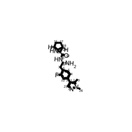 Cc1c(-c2ccc(C[C@@H](N)NC(=O)[C@H]3N[C@@H]4CC[C@H]3C4)c(F)c2)cnn1C